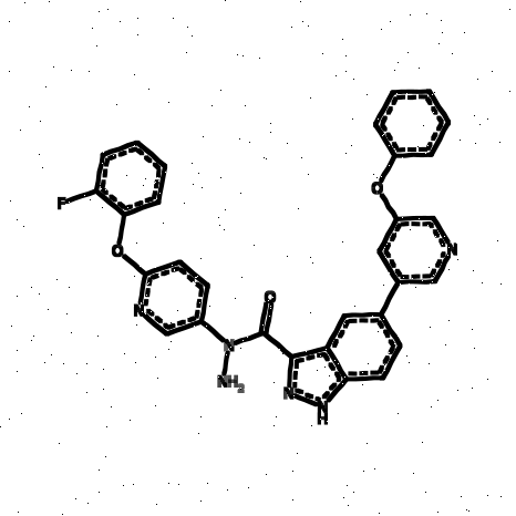 NN(C(=O)c1n[nH]c2ccc(-c3cncc(Oc4ccccc4)c3)cc12)c1ccc(Oc2ccccc2F)nc1